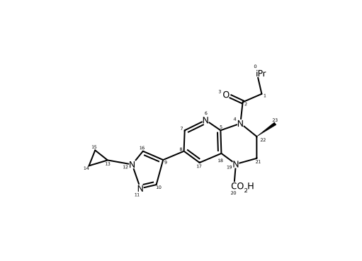 CC(C)CC(=O)N1c2ncc(-c3cnn(C4CC4)c3)cc2N(C(=O)O)C[C@@H]1C